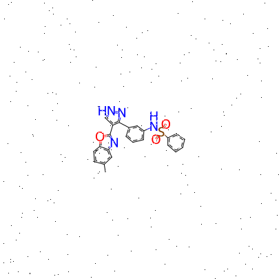 Cc1ccc2oc(-c3c[nH]nc3-c3cccc(NS(=O)(=O)c4ccccc4)c3)nc2c1